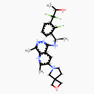 Cc1nc2c(C)nnc(N[C@H](C)c3cccc(C(F)(F)C(C)O)c3F)c2cc1N1CCC2(COC2)C1